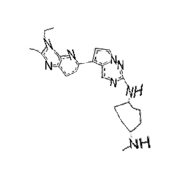 CCn1c(C)nc2ccc(-c3ccn4nc(N[C@H]5CC[C@@H](NC)CC5)ncc34)nc21